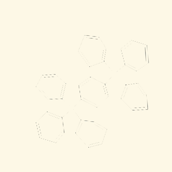 c1ccc(S(c2ccccc2)(c2ccccc2)c2ccc(S(c3ccccc3)(c3ccccc3)c3ccccc3)cc2)cc1